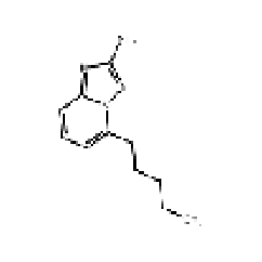 CCCCCc1cccc2nc(N)nn12